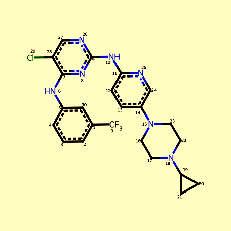 FC(F)(F)c1cccc(Nc2nc(Nc3ccc(N4CCN(C5CC5)CC4)cn3)ncc2Cl)c1